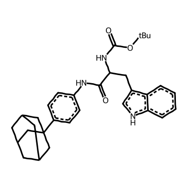 CC(C)(C)OC(=O)NC(Cc1c[nH]c2ccccc12)C(=O)Nc1ccc(C23CC4CC(CC(C4)C2)C3)cc1